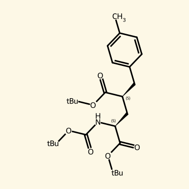 Cc1ccc(C[C@@H](C[C@H](NC(=O)OC(C)(C)C)C(=O)OC(C)(C)C)C(=O)OC(C)(C)C)cc1